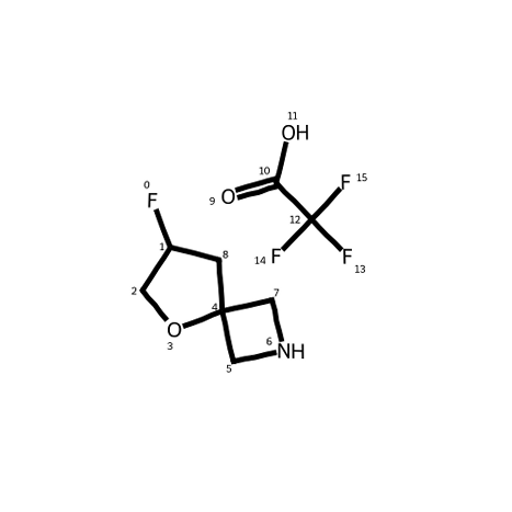 FC1COC2(CNC2)C1.O=C(O)C(F)(F)F